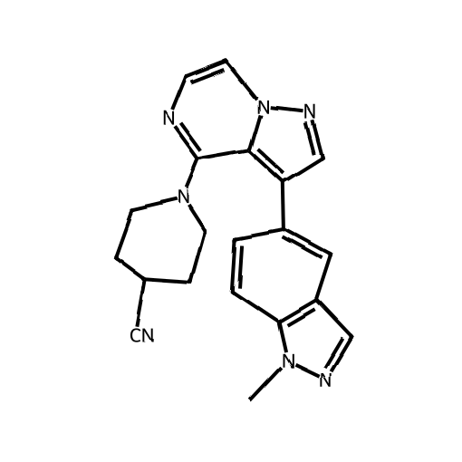 Cn1ncc2cc(-c3cnn4ccnc(N5CCC(C#N)CC5)c34)ccc21